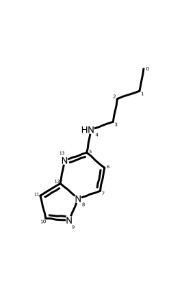 CCCCNc1ccn2nccc2n1